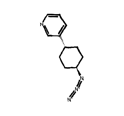 [N-]=[N+]=N[C@H]1CC[C@H](c2cccnc2)CC1